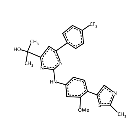 COc1cc(Nc2nc(-c3ccc(C(F)(F)F)cc3)cc(C(C)(C)O)n2)ccc1-c1cnc(C)s1